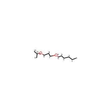 CCCCCCOCCCOC(C)C